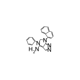 NC1=C2C=NN=C2N(c2cccc3ccccc23)CN1c1ccccc1